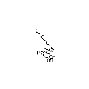 C=C.C=CC.CCCCOCCCC.OCCO.OCCO